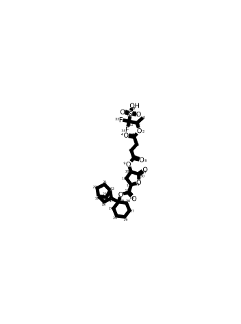 CC(OC(=O)CCC(=O)OC1CC(C(=O)OC2(C3CC4CCC3C4)CCCCC2)OC1=O)C(F)(F)S(=O)(=O)O